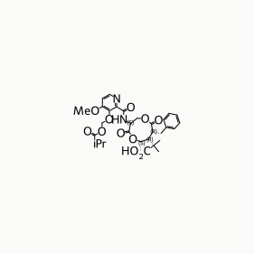 COc1ccnc(C(=O)N[C@H]2COC(=O)[C@H](Cc3ccccc3)[C@H](C(C)(C)C(=O)O)[C@H](C)OC2=O)c1OCOC(=O)C(C)C